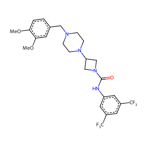 COc1ccc(CN2CCN(C3CN(C(=O)Nc4cc(C(F)(F)F)cc(C(F)(F)F)c4)C3)CC2)cc1OC